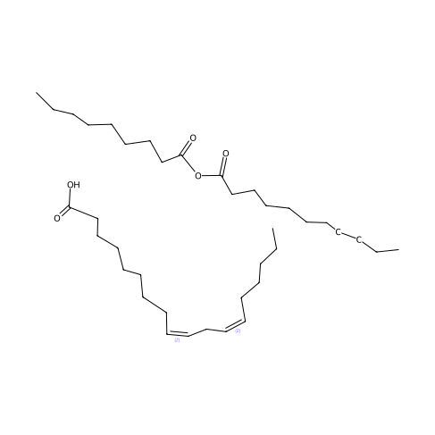 CCCCC/C=C\C/C=C\CCCCCCCC(=O)O.CCCCCCCCCCC(=O)OC(=O)CCCCCCCC